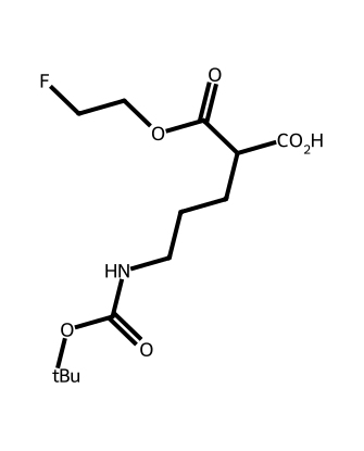 CC(C)(C)OC(=O)NCCCC(C(=O)O)C(=O)OCCF